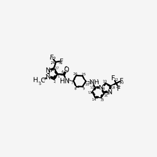 Cn1cc(C(=O)N[C@H]2CC[C@@H](Nc3cccc4nc(C(F)(F)F)cn34)CC2)c(C(F)F)n1